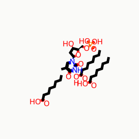 CCCCCCCC(=O)O.CCCCCCCC(=O)O.CCCCCCCC(=O)O.Cc1cn([C@H]2C[C@H](O)[C@@H](COP(=O)(O)O)O2)c(=O)[nH]c1=O